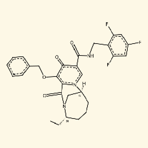 CC[C@H]1CCC[C@H]2CN1C(=O)c1c(OCc3ccccc3)c(=O)c(C(=O)NCc3c(F)cc(F)cc3F)cn12